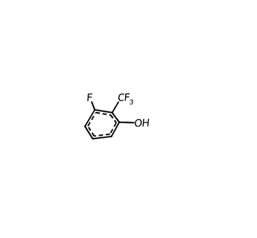 Oc1cccc(F)c1C(F)(F)F